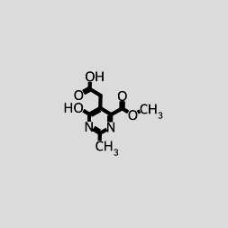 COC(=O)c1nc(C)nc(O)c1CC(=O)O